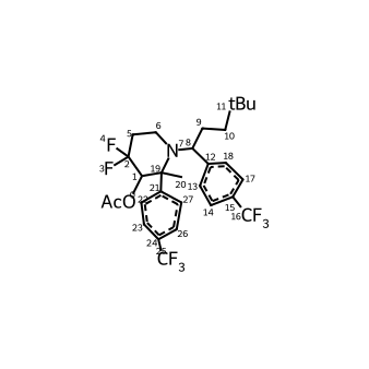 CC(=O)OC1C(F)(F)CCN(C(CCC(C)(C)C)c2ccc(C(F)(F)F)cc2)C1(C)c1ccc(C(F)(F)F)cc1